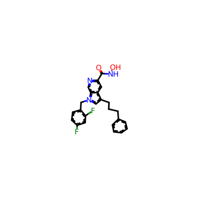 O=C(NO)c1cc2c(CCCc3ccccc3)cn(Cc3ccc(F)cc3F)c2cn1